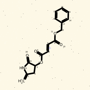 C=C1CC(OC(=O)/C=C/C(=O)OCc2ccccc2)C(=O)N1